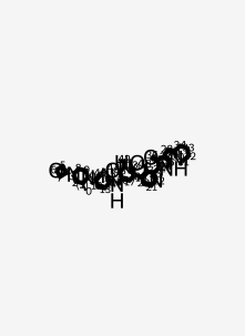 C[C@H]1CN(C2COC2)CCN1c1ccc(Nc2cc(-c3ccnc(C4Nc5c(cc6n5CCCC6)C4=O)c3CO)cn(C)c2=O)nc1